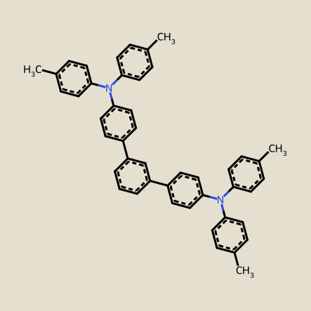 Cc1ccc(N(c2ccc(C)cc2)c2ccc(-c3cccc(-c4ccc(N(c5ccc(C)cc5)c5ccc(C)cc5)cc4)c3)cc2)cc1